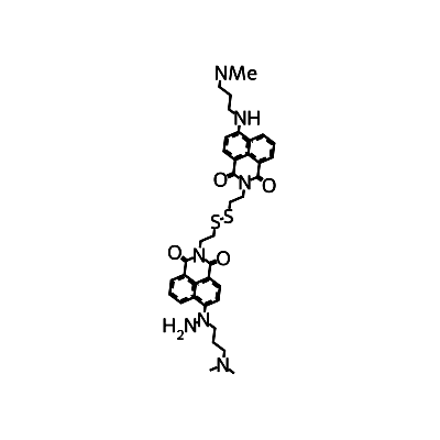 CNCCCNc1ccc2c3c(cccc13)C(=O)N(CCSSCCN1C(=O)c3cccc4c(N(N)CCCN(C)C)ccc(c34)C1=O)C2=O